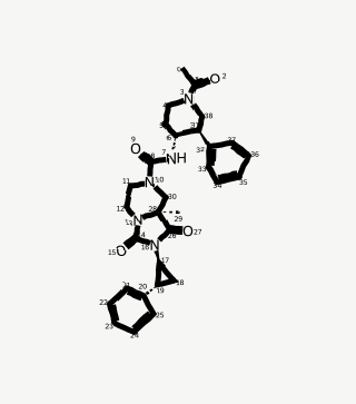 CC(=O)N1CC[C@@H](NC(=O)N2CCN3C(=O)N([C@H]4C[C@@H]4c4ccccc4)C(=O)[C@]3(C)C2)[C@H](c2ccccc2)C1